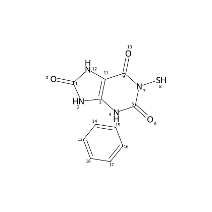 O=c1[nH]c2[nH]c(=O)n(S)c(=O)c2[nH]1.c1ccccc1